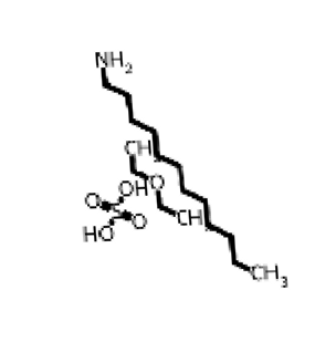 CCCCCCCCCCCCN.CCOCC.O=S(=O)(O)O